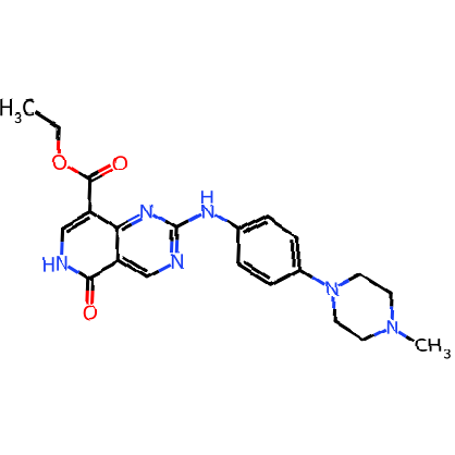 CCOC(=O)c1c[nH]c(=O)c2cnc(Nc3ccc(N4CCN(C)CC4)cc3)nc12